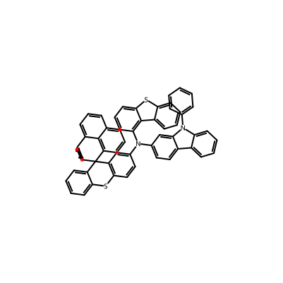 c1ccc(-n2c3ccccc3c3ccc(N(c4ccc5c(c4)C4(c6ccccc6S5)c5ccccc5-c5cccc6cccc4c56)c4cccc5sc6ccccc6c45)cc32)cc1